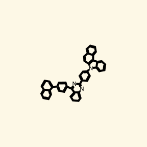 C1=c2nc(-c3ccc(-n4c5ccccc5c5c6ccccc6ccc54)cc3)nc(-c3ccc(-c4cccc5ccccc45)cc3)c2=CCC1